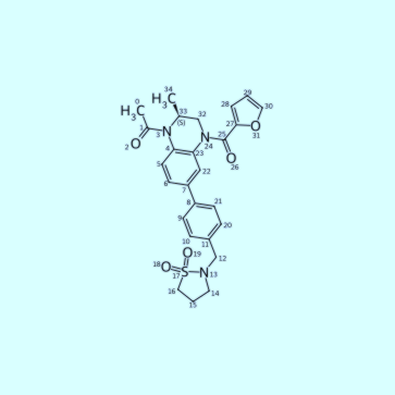 CC(=O)N1c2ccc(-c3ccc(CN4CCCS4(=O)=O)cc3)cc2N(C(=O)c2ccco2)C[C@@H]1C